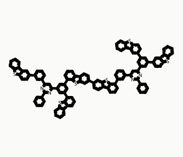 c1ccc(-c2nc(-c3cc(-c4ccc5sc6ccccc6c5c4)cc(-c4ccc5sc6ccccc6c5c4)c3)cc(-c3cccc(-c4cccc5c4sc4cc(-c6ccc7c(c6)sc6c(-c8cc(-c9cc(-c%10cccc(-c%11ccc%12sc%13ccccc%13c%12c%11)c%10)nc(-c%10ccccc%10)n9)cc(-c9cccc%10c9sc9ccccc9%10)c8)cccc67)ccc45)c3)n2)cc1